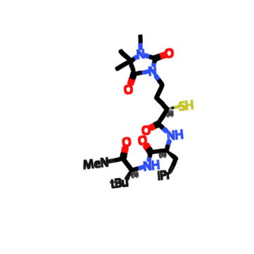 CNC(=O)[C@@H](NC(=O)[C@H](CC(C)C)NC(=O)[C@@H](S)CCN1C(=O)N(C)C(C)(C)C1=O)C(C)(C)C